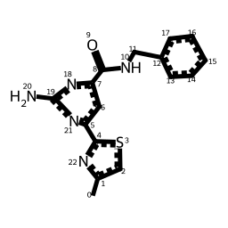 Cc1csc(-c2cc(C(=O)NCc3ccccc3)nc(N)n2)n1